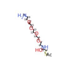 CC(=O)SCC(O)NCCOCCOCCOCCOCCN